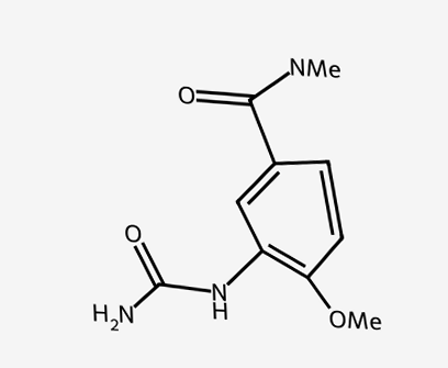 CNC(=O)c1ccc(OC)c(NC(N)=O)c1